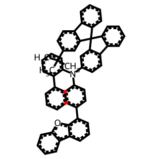 CC(C)(C)c1ccc2c(c1)C1(c3ccccc3-c3ccc(N(c4ccc(-c5cccc6c5oc5ccccc56)cc4)c4ccccc4-c4ccccc4)cc31)c1ccccc1-2